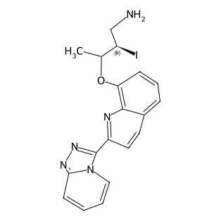 CC(Oc1cccc2ccc(-c3nnc4ccccn34)nc12)[C@H](I)CN